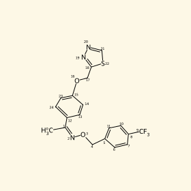 CC(=NOCc1ccc(C(F)(F)F)cc1)c1ccc(OCc2nncs2)cc1